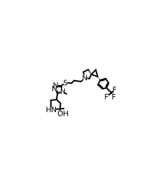 Cn1c(SCCCN2CC[C@]3(C[C@@H]3c3ccc(C(F)(F)F)cc3)C2)nnc1C1CCNC(C)(O)C1